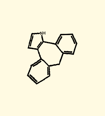 c1ccc2c(c1)Cc1ccccc1-c1[nH]ccc1-2